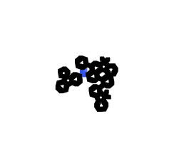 CC1(C)c2ccccc2-c2ccc(-c3ccccc3N(c3ccc(-c4ccccc4-c4cccc5c4C(C)(C)c4ccccc4-5)cc3)c3ccc4c(c3)C3(CCCC3)c3ccccc3-4)cc21